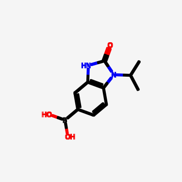 CC(C)n1c(=O)[nH]c2cc(B(O)O)ccc21